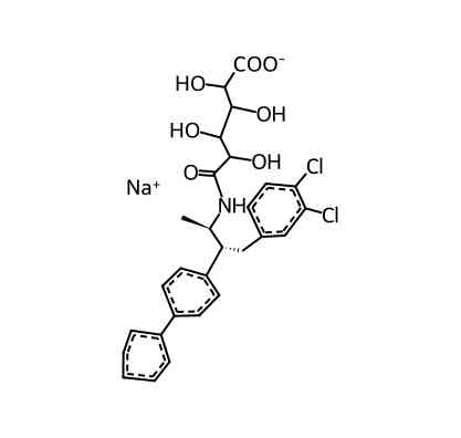 C[C@@H](NC(=O)C(O)C(O)C(O)C(O)C(=O)[O-])[C@H](Cc1ccc(Cl)c(Cl)c1)c1ccc(-c2ccccc2)cc1.[Na+]